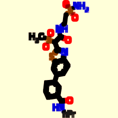 CCCNC(=O)c1cccc(-c2ccc3nc(C(C(=O)NCCS(N)(=O)=O)S(C)(=O)=O)sc3c2)c1